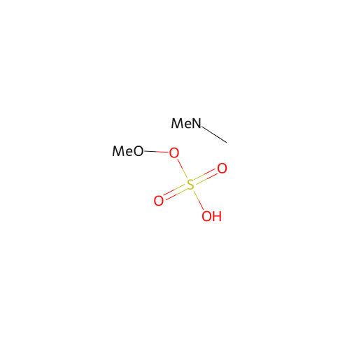 CNC.COOS(=O)(=O)O